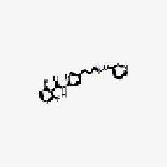 O=C(Nc1ccc(CC/C=N/Oc2cccnc2)cn1)c1c(F)cccc1F